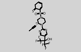 CC#C[C@@H]1CN(S(=O)(=O)C2=CC=CCC2=S)CCN1c1ncc(C(O)(C(F)(F)F)C(F)(F)F)cn1